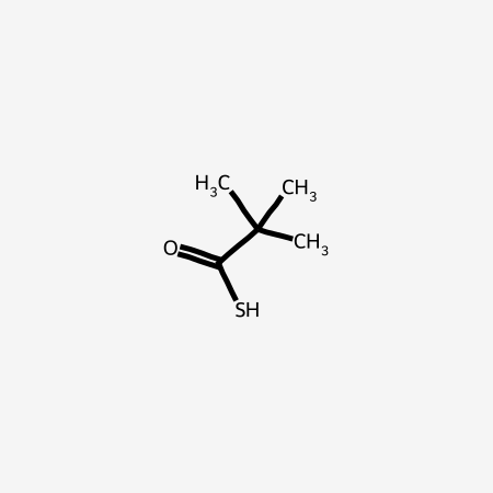 CC(C)(C)C(=O)S